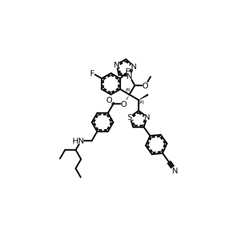 CCCC(CC)NCc1ccc(C(=O)O[C@](c2ccc(F)cc2F)(C(OC)n2cncn2)[C@@H](C)c2nc(-c3ccc(C#N)cc3)cs2)cc1